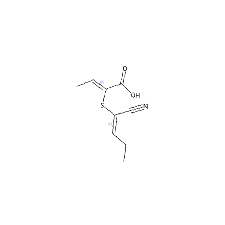 C/C=C(\S/C(C#N)=C/CC)C(=O)O